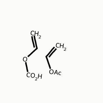 C=COC(=O)O.C=COC(C)=O